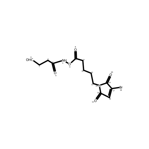 O=CCCC(=O)NOC(=O)CCCCN1C(=O)C=C(Br)C1=O